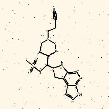 CS(=O)(=O)NC(C1CCN(CCC#N)CC1)N1Cc2c(cnc3[nH]ccc23)N1